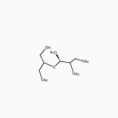 CC(=O)OCC(CO)O[C@@H](OC(C)=O)C(COC(C)=O)OC(C)=O